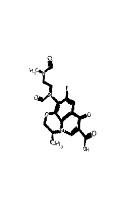 C[C@H]1COc2c(N(C=O)CCN(C)C=O)c(F)cc3c(=O)c(C(=O)O)cn1c23